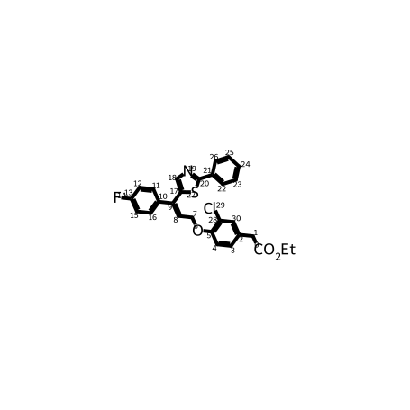 CCOC(=O)Cc1ccc(OC/C=C(/c2ccc(F)cc2)c2cnc(-c3ccccc3)s2)c(Cl)c1